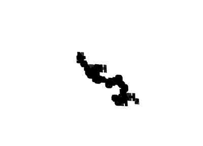 Cc1ncsc1-c1ccc(C(C)NC(=O)[C@@H]2C[C@@H](O)CN2C(=O)C(NC(=O)CCCCCC(=O)N2CCN(C(=O)c3ccc(OC4CN(c5cc(-c6ccccc6O)nnc5N)C4)cc3)CC2)C(C)(C)C)cc1